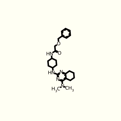 CN(C)c1nc(NC2CCC(NC(=O)COCc3ccccc3)CC2)nc2c1CCCC2